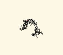 CC(C)C(N)C(=O)NC(CCCNC(N)=O)C(=O)Nc1ccc(COC(=O)NCC(=O)Nc2ccc3c(c2)[C@@]2(C)CCC[C@](C)(C(=O)NC(=O)[C@@]4(C)CCC[C@]5(C)c6cc(N)ccc6CC[C@@H]45)[C@@H]2CC3)cc1